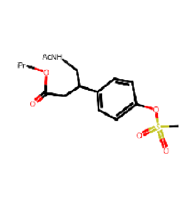 CC(=O)NCC(CC(=O)OC(C)C)c1ccc(OS(C)(=O)=O)cc1